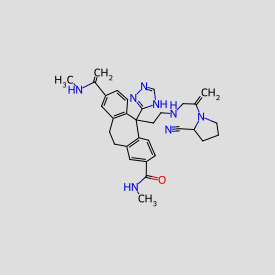 C=C(NC)c1ccc2c(c1)CCc1cc(C(=O)NC)ccc1C2(CCNCC(=C)N1CCCC1C#N)c1nnc[nH]1